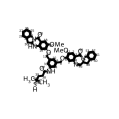 COc1cc2c(cc1OCc1cc(COc3cc4c(cc3OC)C(=O)N3c5ccccc5CC3N4)cc(NC(=O)CCC(C)(C)S)c1)N=CC1Cc3ccccc3N1C2=O